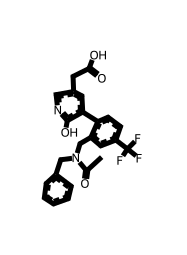 CC(=O)N(Cc1ccccc1)Cc1cc(C(F)(F)F)ccc1-c1cc(CC(=O)O)cnc1O